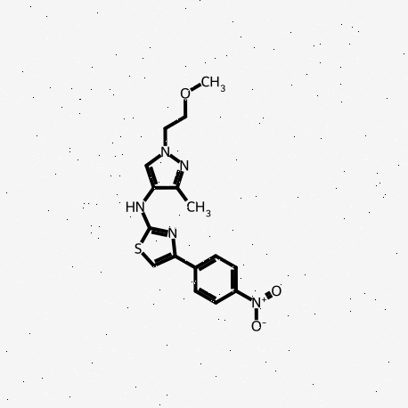 COCCn1cc(Nc2nc(-c3ccc([N+](=O)[O-])cc3)cs2)c(C)n1